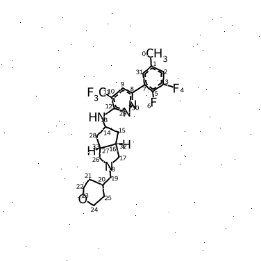 Cc1cc(F)c(F)c(-c2cc(C(F)(F)F)c(NC3C[C@@H]4CN(CC5CCOCC5)C[C@@H]4C3)nn2)c1